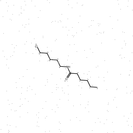 CCCCCC(=O)NCCCCCCl